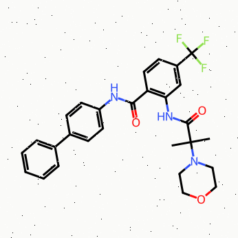 CC(C)(C(=O)Nc1cc(C(F)(F)F)ccc1C(=O)Nc1ccc(-c2ccccc2)cc1)N1CCOCC1